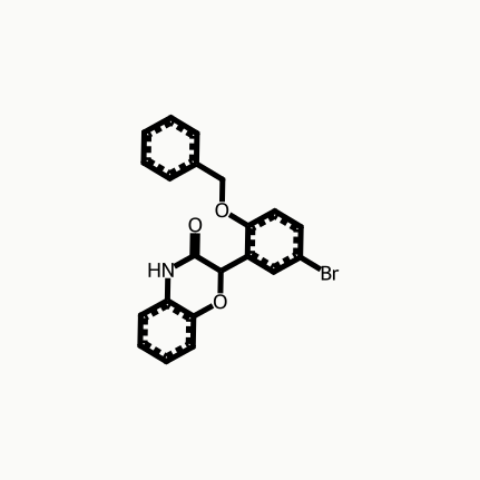 O=C1Nc2ccccc2OC1c1cc(Br)ccc1OCc1ccccc1